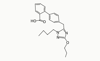 CCCCn1nc(OCCC)nc1Cc1ccc(-c2ccccc2C(=O)O)cc1